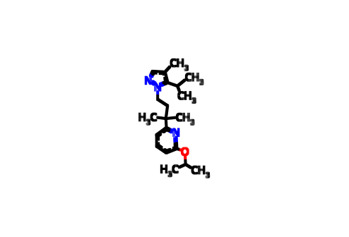 Cc1cnn(CCC(C)(C)c2cccc(OC(C)C)n2)c1C(C)C